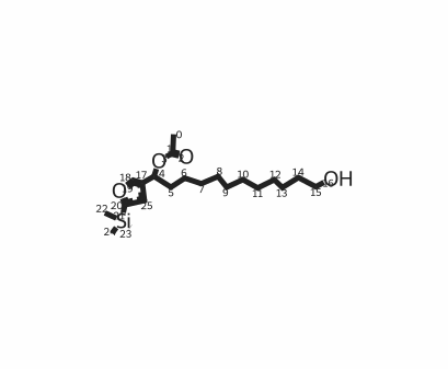 CC(=O)OC(CCCCCCCCCCCO)c1coc([Si](C)(C)C)c1